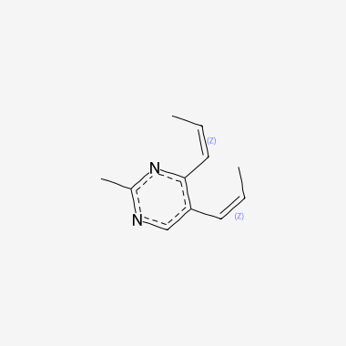 C/C=C\c1cnc(C)nc1/C=C\C